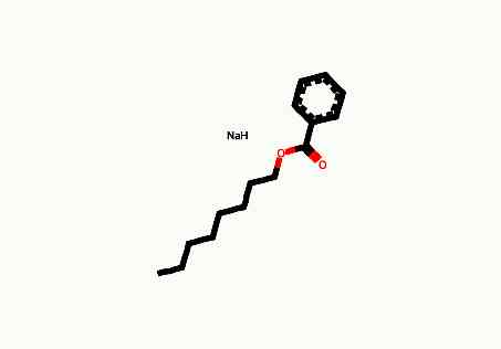 CCCCCCCCOC(=O)c1ccccc1.[NaH]